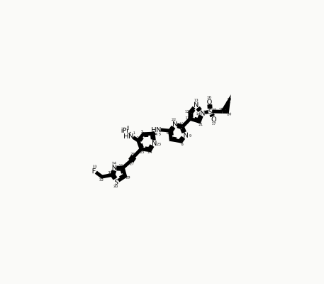 CC(C)Nc1cc(Nc2ccnc(-c3cnn(S(=O)(=O)C4CC4)c3)n2)ncc1C#Cc1csc(CF)n1